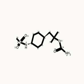 CC(C)(C[C@H]1CC[C@H](NS(C)(=O)=O)CC1)OC(N)=O